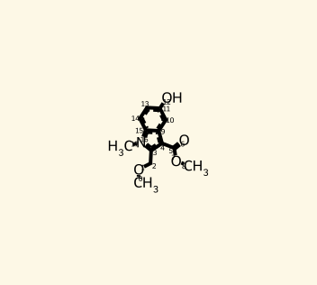 COCc1c(C(=O)OC)c2cc(O)ccc2n1C